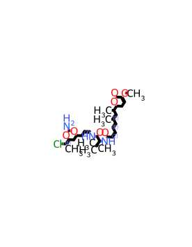 COC1=CCC(C(C)/C=C(C)/C=C/C=C\C(=O)NC(C(=O)N/C=C\CC(C/C=C(\C)Cl)OC(N)=O)C(C)(C)C)OC1=O